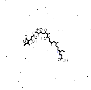 C=C1OC(=O)C(C(O)CC(=O)O[C@H](C)[C@@H](C)C(O)CC(=O)[C@@H](C)C(O)CCC(C)C[C@@H](C)CC/C=C(/C=C/C(=O)O)CC)=C1C